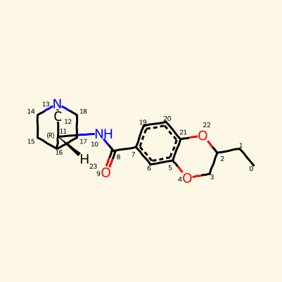 CCC1COc2cc(C(=O)N[C@H]3CN4CCC3CC4)ccc2O1